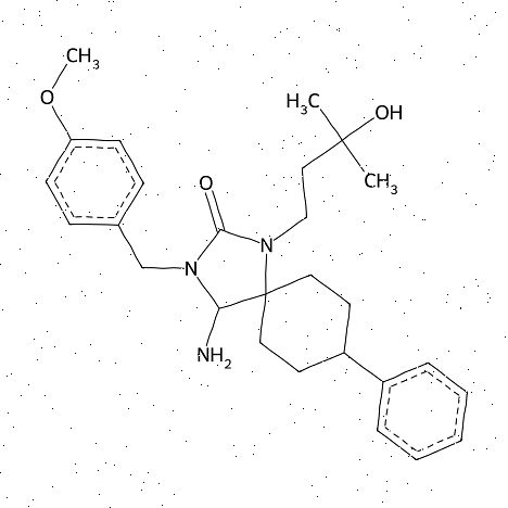 COc1ccc(CN2C(=O)N(CCC(C)(C)O)C3(CCC(c4ccccc4)CC3)C2N)cc1